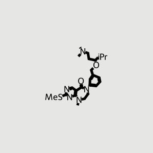 CSc1ncc2c(n1)N(C)CCN(c1cccc(COC(CCN(C)C)C(C)C)c1)C2=O